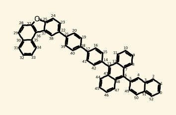 c1ccc2cc(-c3c4ccccc4c(-c4ccc(-c5ccc(-c6ccc7oc8ccc9ccccc9c8c7c6)cc5)cc4)c4ccccc34)ccc2c1